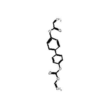 C=COC(=O)Oc1ccc(-c2ccc(OC(=O)C=C)cc2)cc1